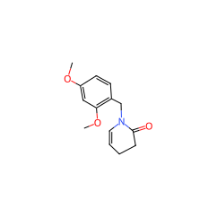 COc1ccc(CN2C=CCCC2=O)c(OC)c1